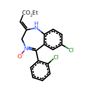 CCOC(=O)C=C1C[N+]([O-])=C(c2ccccc2Cl)c2cc(Cl)ccc2N1